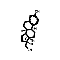 CC[C@]12CC[C@@H]3c4ccc(O)cc4CC[C@H]3[C@@H]1C=C[C@@]2(O)CC#N